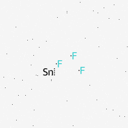 [F].[F].[F].[Sn]